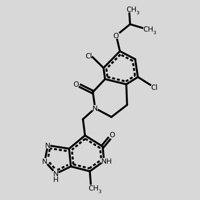 Cc1[nH]c(=O)c(CN2CCc3c(Cl)cc(OC(C)C)c(Cl)c3C2=O)c2nn[nH]c12